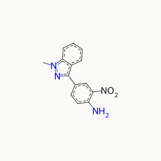 Cn1nc(-c2ccc(N)c([N+](=O)[O-])c2)c2ccccc21